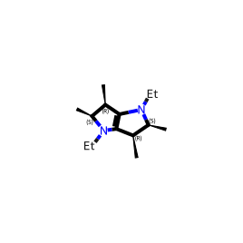 CCN1C2=C([C@H](C)[C@@H]1C)N(CC)[C@@H](C)[C@H]2C